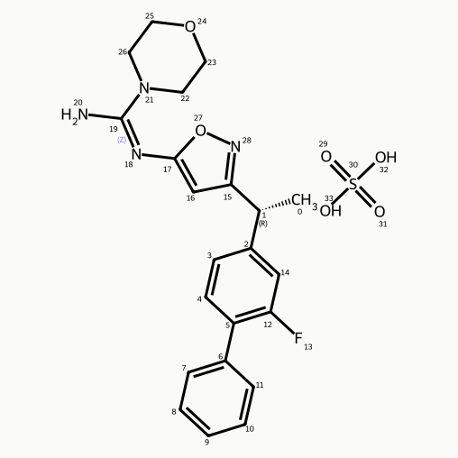 C[C@H](c1ccc(-c2ccccc2)c(F)c1)c1cc(/N=C(/N)N2CCOCC2)on1.O=S(=O)(O)O